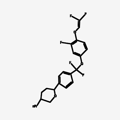 CCCC1CCC(c2ccc(C(F)(F)Oc3ccc(OC=C(F)F)c(F)c3)cc2)OC1